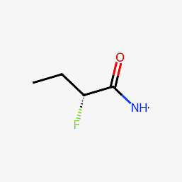 CC[C@@H](F)C([NH])=O